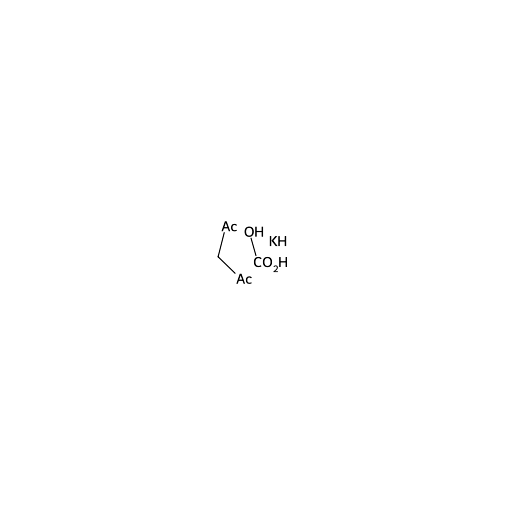 CC(=O)CC(C)=O.O=C(O)O.[KH]